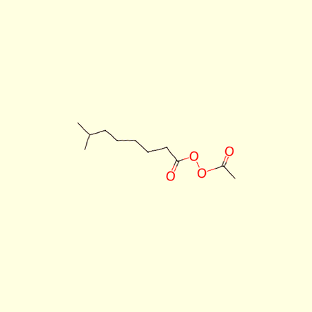 CC(=O)OOC(=O)CCCCCC(C)C